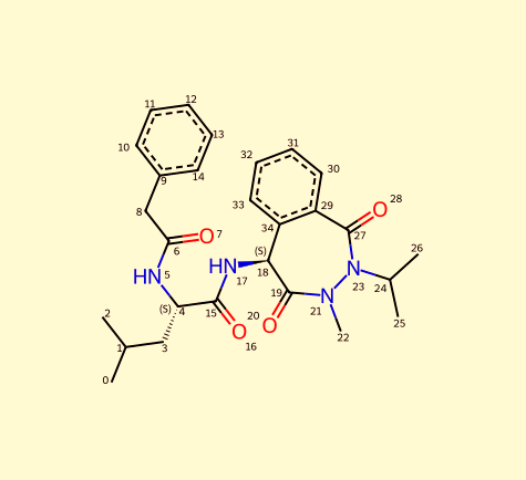 CC(C)C[C@H](NC(=O)Cc1ccccc1)C(=O)N[C@@H]1C(=O)N(C)N(C(C)C)C(=O)c2ccccc21